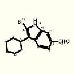 O=Cc1ccc2c(C3CCCCC3)c(Br)[nH]c2c1